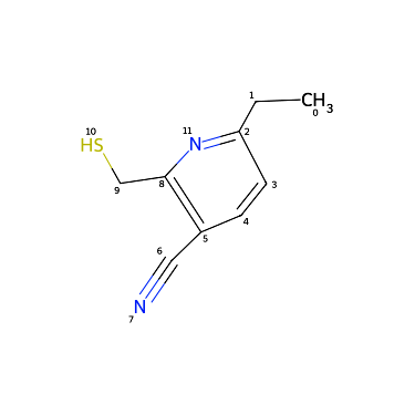 CCc1ccc(C#N)c(CS)n1